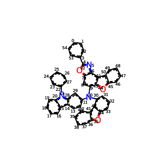 c1ccc(-c2nc3c(cc(N(c4ccc5c6ccccc6n(-c6ccccc6)c5c4)c4cccc5oc6ccccc6c45)c4oc5ccccc5c43)o2)cc1